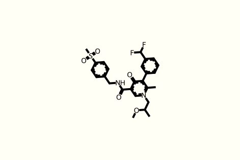 COC(C)Cn1cc(C(=O)NCc2ccc(S(C)(=O)=O)cc2)c(=O)c(-c2cccc(C(F)F)c2)c1C